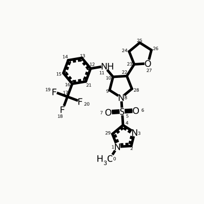 Cn1cnc(S(=O)(=O)N2CC(Nc3cccc(C(F)(F)F)c3)C(C3CCCO3)C2)c1